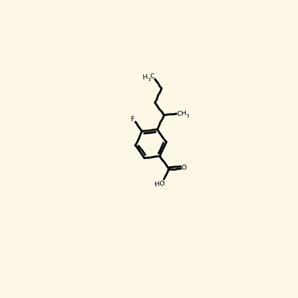 CCCC(C)c1cc(C(=O)O)ccc1F